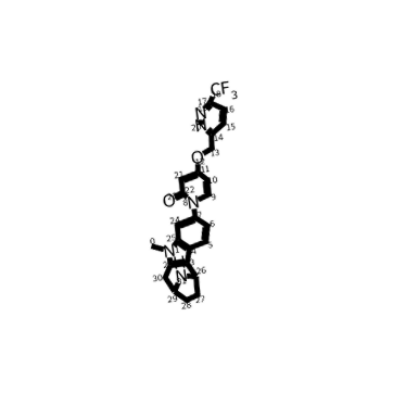 Cn1c2c(c3ccc(-n4ccc(OCc5ccc(C(F)(F)F)nn5)cc4=O)cc31)C1CCC(C2)N1